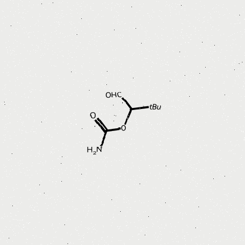 CC(C)(C)C(C=O)OC(N)=O